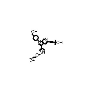 CC(C)(O)C#Cc1cc2c(-c3cnn(COCC[Si](C)(C)C)c3)cn(C3CCC(CO)CC3)c2cn1